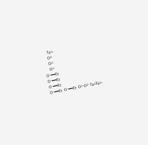 CC[O-].CC[O-].CC[O-].CC[O-].CC[O-].[O-2].[O-2].[O-2].[O-2].[O-2].[Ta+5].[Ta+5].[Ta+5]